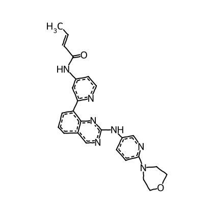 CC=CC(=O)Nc1ccnc(-c2cccc3cnc(Nc4ccc(N5CCOCC5)nc4)nc23)c1